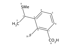 CSC(C)c1cccc(C(=O)O)c1F